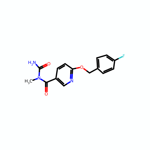 CN(C(N)=O)C(=O)c1ccc(OCc2ccc(F)cc2)nc1